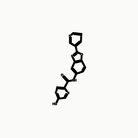 O=C(Nc1ccc2oc(-c3cccnc3)nc2c1)c1cnc(O)cn1